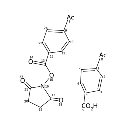 CC(=O)c1ccc(C(=O)O)cc1.CC(=O)c1ccc(C(=O)ON2C(=O)CCC2=O)cc1